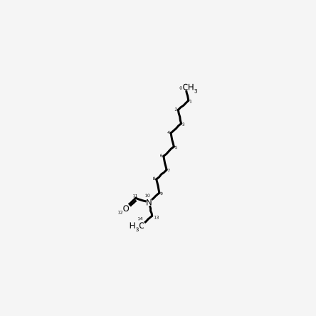 CCCCCCCCCCN(C=O)CC